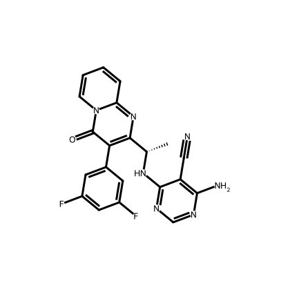 C[C@H](Nc1ncnc(N)c1C#N)c1nc2ccccn2c(=O)c1-c1cc(F)cc(F)c1